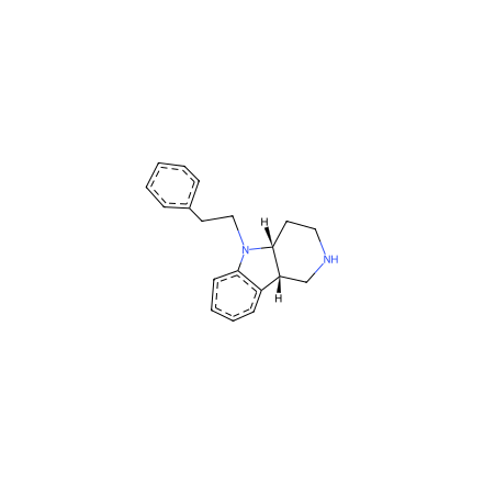 c1ccc(CCN2c3ccccc3[C@H]3CNCC[C@H]32)cc1